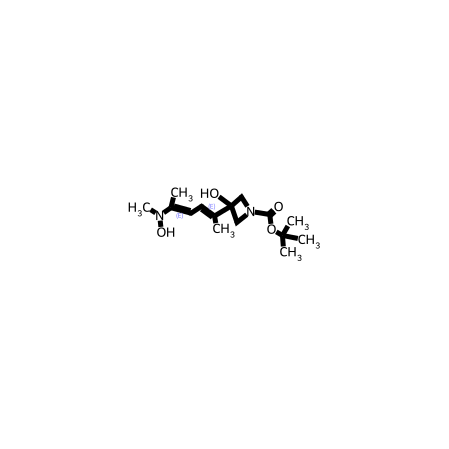 C/C(=C\C=C(/C)C1(O)CN(C(=O)OC(C)(C)C)C1)N(C)O